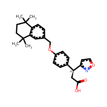 CC1(C)CCC(C)(C)c2cc(COc3ccc([C@H](CC(=O)O)c4ccon4)cc3)ccc21